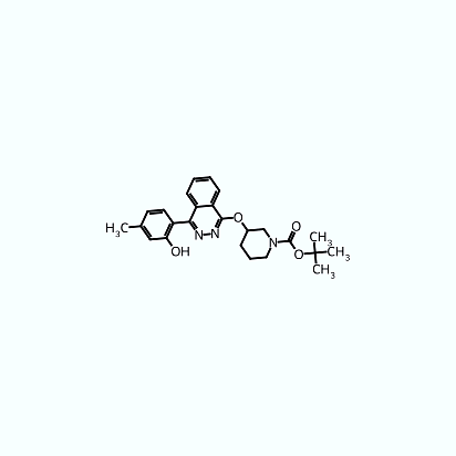 Cc1ccc(-c2nnc(OC3CCCN(C(=O)OC(C)(C)C)C3)c3ccccc23)c(O)c1